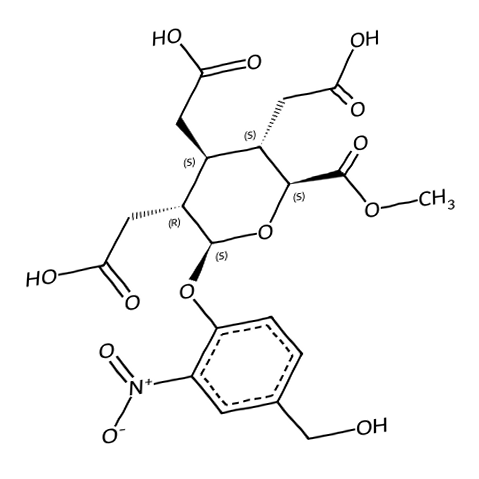 COC(=O)[C@H]1O[C@@H](Oc2ccc(CO)cc2[N+](=O)[O-])[C@H](CC(=O)O)[C@@H](CC(=O)O)[C@@H]1CC(=O)O